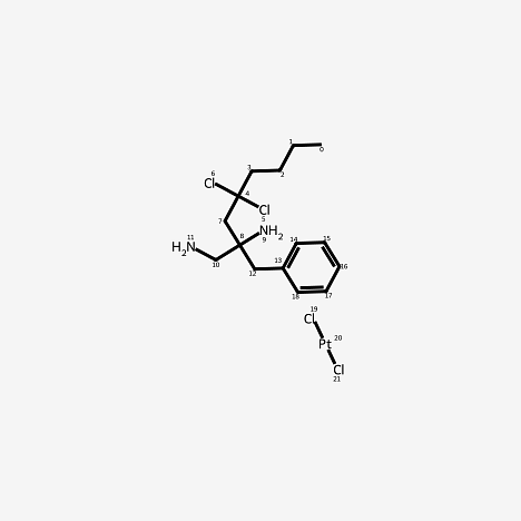 CCCCC(Cl)(Cl)CC(N)(CN)Cc1ccccc1.[Cl][Pt][Cl]